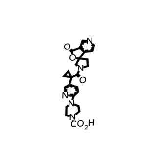 O=C1OC2(CCN(C(=O)C3(c4ccc(N5CCN(C(=O)O)CC5)nc4)CC3)C2)c2ccncc21